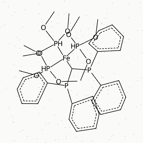 CO[PH](OC)(OC)[Fe]([CH](P(c1ccccc1)c1ccccc1)P(c1ccccc1)c1ccccc1)([PH](OC)(OC)OC)[PH](OC)(OC)OC